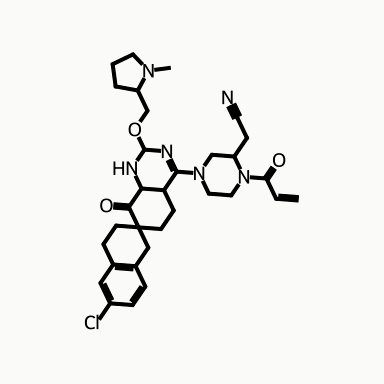 C=CC(=O)N1CCN(C2=NC(OCC3CCCN3C)NC3C(=O)C4(CCc5cc(Cl)ccc5C4)CCC23)CC1CC#N